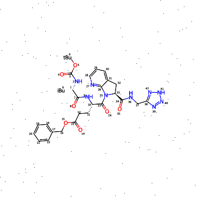 CC[C@H](C)[C@H](NC(=O)OC(C)(C)C)C(=O)N[C@@H](CCC(=O)OCc1ccccc1)C(=O)N1c2ncccc2C[C@H]1C(=O)NCc1nn[nH]n1